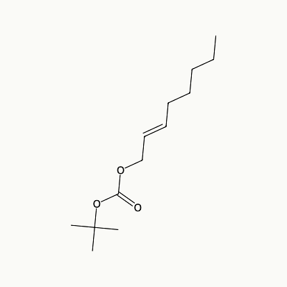 CCCCCC=CCOC(=O)OC(C)(C)C